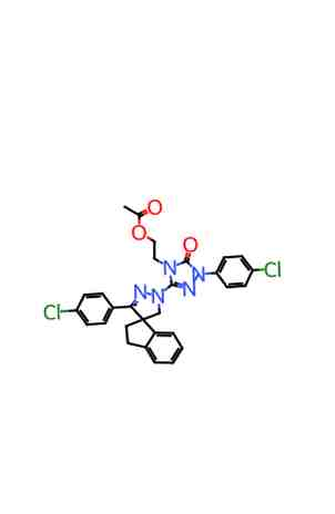 CC(=O)OCCn1c(N2CC3(CCc4ccccc43)C(c3ccc(Cl)cc3)=N2)nn(-c2ccc(Cl)cc2)c1=O